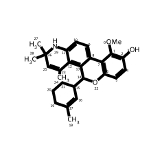 COc1c(O)ccc2c1-c1ccc3c(c1C(C1C=C(C)CCC1)O2)C(C)=CC(C)(C)N3